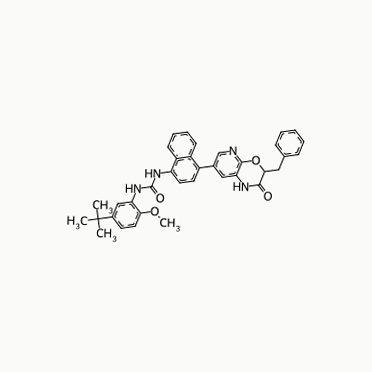 COc1ccc(C(C)(C)C)cc1NC(=O)Nc1ccc(-c2cnc3c(c2)NC(=O)C(Cc2ccccc2)O3)c2ccccc12